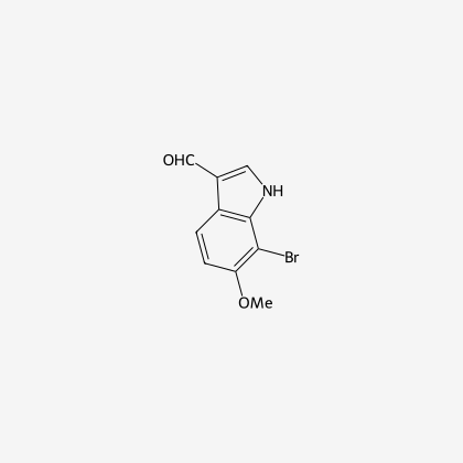 COc1ccc2c(C=O)c[nH]c2c1Br